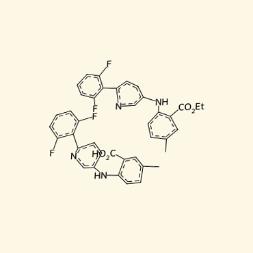 CCOC(=O)c1cc(C)ccc1Nc1ccc(-c2c(F)cccc2F)nc1.Cc1ccc(Nc2ccc(-c3c(F)cccc3F)nc2)c(C(=O)O)c1